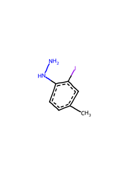 Cc1ccc(NN)c(I)c1